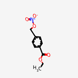 CCOC(=O)c1ccc(CO[N+](=O)[O-])cc1